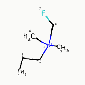 CCC[N+](C)(C)CF